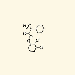 C=C(C(=O)OOc1cccc(Cl)c1Cl)c1ccccc1